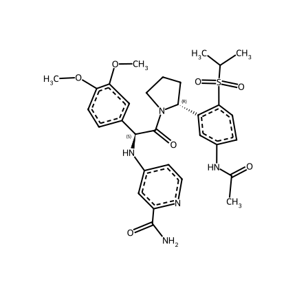 COc1ccc([C@H](Nc2ccnc(C(N)=O)c2)C(=O)N2CCC[C@@H]2c2cc(NC(C)=O)ccc2S(=O)(=O)C(C)C)cc1OC